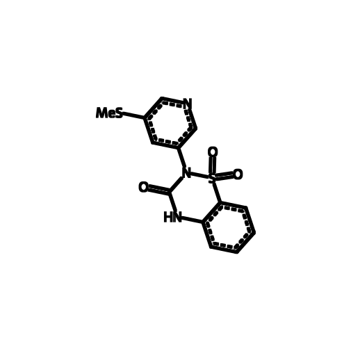 CSc1cncc(N2C(=O)Nc3ccccc3S2(=O)=O)c1